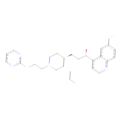 COc1ccc2nccc([C@H](O)CC[C@@H]3CCN(CCSc4ncccn4)C[C@H]3CCC(=O)O)c2c1